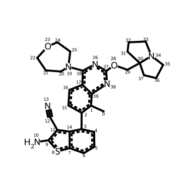 Cc1c(-c2cccc3sc(N)c(C#N)c23)ccc2c(N3CCCOCC3)nc(OCC34CCCN3CCC4)nc12